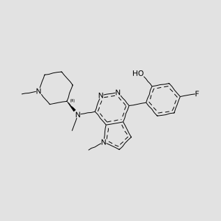 CN1CCC[C@@H](N(C)c2nnc(-c3ccc(F)cc3O)c3ccn(C)c23)C1